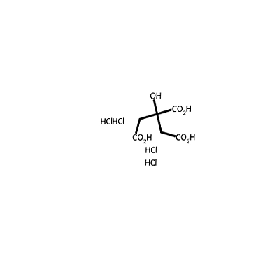 Cl.Cl.Cl.Cl.O=C(O)CC(O)(CC(=O)O)C(=O)O